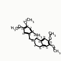 COc1cc(N)c(CN2CCc3cc(OC)c(OC)cc3C2)cc1OC